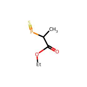 CCOC(=O)C(C)P=S